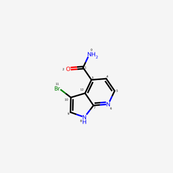 NC(=O)c1ccnc2[nH]cc(Br)c12